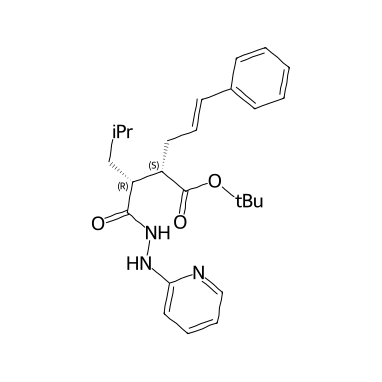 CC(C)C[C@@H](C(=O)NNc1ccccn1)[C@H](CC=Cc1ccccc1)C(=O)OC(C)(C)C